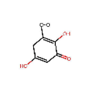 O=CC1=C(O)C(=O)C=C(O)C1